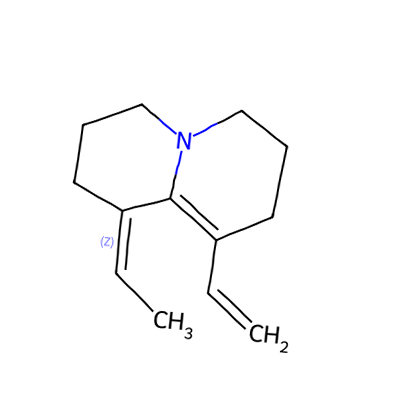 C=CC1=C2/C(=C\C)CCCN2CCC1